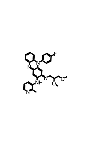 COCC(C/N=c1\cc2n(-c3ccc(F)cc3)c3ccccc3nc-2cc1Nc1cccnc1C)OC